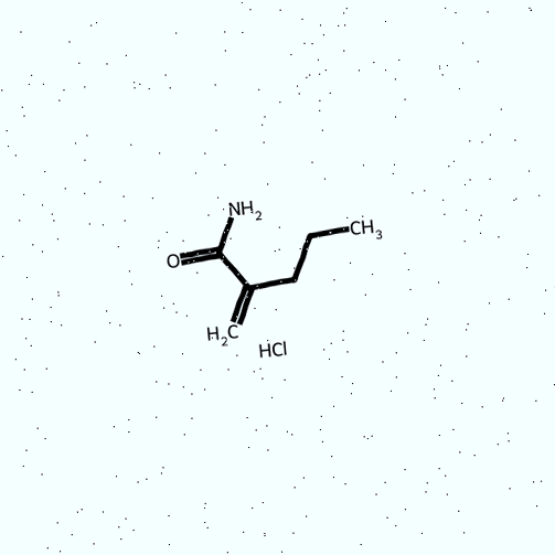 C=C(CCC)C(N)=O.Cl